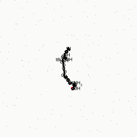 Cc1ncsc1-c1ccc(C(C)NC(=O)C2CC(O)CN2C(=O)C(NC(=O)CCOCCOCCOCCC(=O)N2CCN(c3ccc(N4CCCC(Oc5cc(-c6ccccc6O)nnc5N)C4)cc3)CC2)C(C)(C)C)cc1